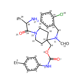 CCc1ccc(NC(=O)OCC2(N(C=O)Cc3ccccc3Cl)CCN(C(=O)C(N)C(C)C)CC2)cc1